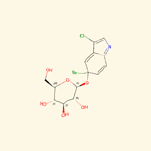 OC[C@H]1O[C@@H](OC2(Br)C=CC3=NC=C(Cl)C3=C2)[C@H](O)[C@@H](O)[C@@H]1O